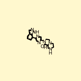 O=C1[C@H]2CNCCN2CCN1c1cnc(-c2cccc3cn[nH]c23)cn1